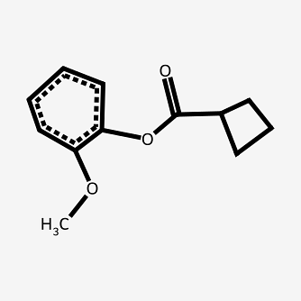 COc1ccccc1OC(=O)C1CCC1